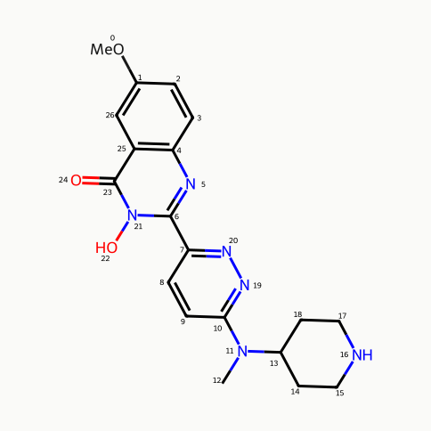 COc1ccc2nc(-c3ccc(N(C)C4CCNCC4)nn3)n(O)c(=O)c2c1